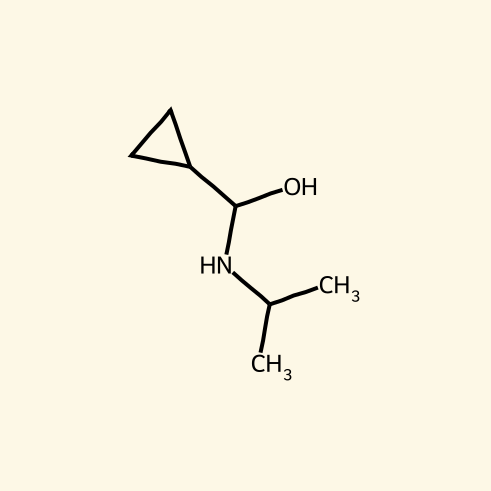 CC(C)NC(O)C1CC1